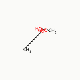 C=CCOCC(CO)OC(=O)CCCCCCCCCCCCCCCCC